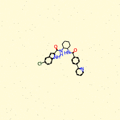 O=C(N[C@@H]1CCCC[C@@H]1NC(=O)c1cc2cc(Cl)ccc2[nH]1)c1ccc(-c2ccccn2)cc1